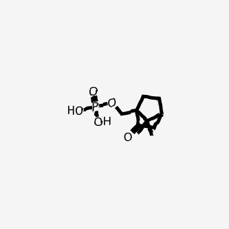 CC1(C)C2CCC1(COP(=O)(O)O)C(=O)C2